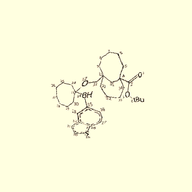 CC(C)(C)OC(=O)C12CCCCCC(COC3(Bc4ccc5sccc5c4)CCCCCCC3)(CCCC1)C2